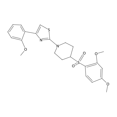 COc1ccc(S(=O)(=O)C2CCN(c3nc(-c4ccccc4OC)cs3)CC2)c(OC)c1